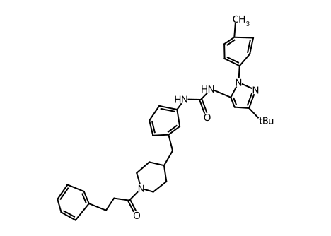 Cc1ccc(-n2nc(C(C)(C)C)cc2NC(=O)Nc2cccc(CC3CCN(C(=O)CCc4ccccc4)CC3)c2)cc1